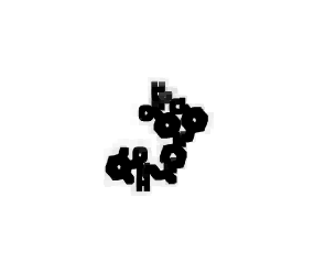 Cc1cccc(C)c1C(=O)NCCC(C)N1CCC(N(Cc2cccc(Cl)c2)c2ccc(C(N)=O)cc2)CC1